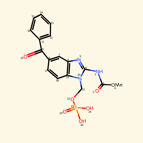 COC(=O)Nc1nc2cc(C(=O)c3ccccc3)ccc2n1COP(=O)(O)O